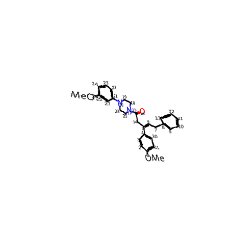 COc1ccc(/C(=C\Cc2ccccc2)CC(=O)N2CCN(c3cccc(OC)c3)CC2)cc1